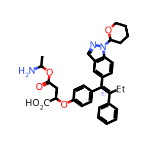 CC/C(=C(/c1ccc(OC(CC(=O)OC(C)N)C(=O)O)cc1)c1ccc2c(cnn2C2CCCCO2)c1)c1ccccc1